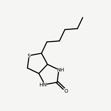 CCCCCC1SCC2NC(=O)NC21